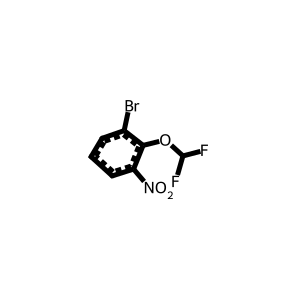 O=[N+]([O-])c1cccc(Br)c1OC(F)F